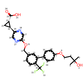 CC(C)(O)CCOc1ccc(-c2cc(COc3cnc([C@H]4C[C@@H]4C(=O)O)cn3)ccc2C(F)(F)F)cc1